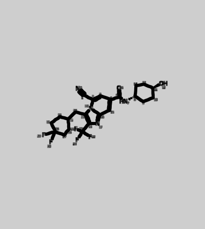 N#Cc1cc(C(=O)N[C@H]2CC[C@H](O)CC2)cc2nc(C(F)(F)F)c(CC3CCC(F)(F)CC3)n12